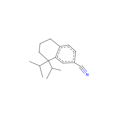 CC(C)C1(C(C)C)CCCc2ccc(C#N)cc21